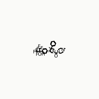 CN1CCN(C(=O)N2C[C@H](c3ccc(C(O)(C(F)(F)F)C(F)(F)F)cc3)[C@](C)(c3ccccc3)C2)CC1